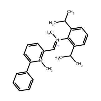 [CH2-]/[N+](=C\c1cccc(-c2ccccc2)[n+]1[CH2-])c1c(C(C)C)cccc1C(C)C